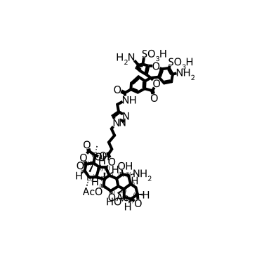 CC(=O)O[C@H]1C2C([C@@H](O)[C@H](N)[C@H]3C[C@@H]4O[C@@H]4[C@H](O)[C@]23C)[C@@H]2[C@@H](OC(=O)CCCCn3cc(CNC(=O)c4ccc5c(c4)C(=O)OC54c5ccc(N)c(S(=O)(=O)O)c5Oc5c4ccc(N)c5S(=O)(=O)O)nn3)[C@@H]3[C@H]([C@H](C)[C@H]4O[C@]45OC(=O)[C@@](C)(O)[C@]35C)[C@@]2(C)[C@H]1OC(C)=O